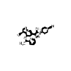 Cc1c(-c2cc(OC(C)c3ccccn3)c3c(C#N)cnn3c2)nnn1C1CCN(C#N)CC1